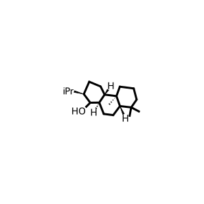 CC(C)[C@H]1CC[C@H]2[C@@H](CC[C@H]3C(C)(C)CCC[C@]23C)C1O